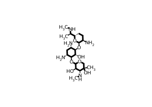 CN[C@@H]1[C@@H](O)C(O[C@@H]2[C@@H](O)[C@H](O[C@H]3O[C@H]([C@@H](C)NC)CC[C@H]3N)[C@@H](N)C[C@H]2N)OC[C@]1(C)O